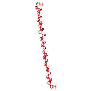 OOOOOOOOOOOOOOOOOOOOOOOOOOO